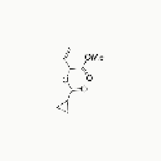 C=CC(OC(=O)C1CC1)C(=O)OC